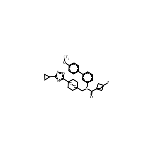 O=C(N(CC12CCC(c3nc(C4CC4)no3)(CC1)CC2)c1cccc(-c2ccc(OC(F)(F)F)cc2)c1)C12CC(F)(C1)C2